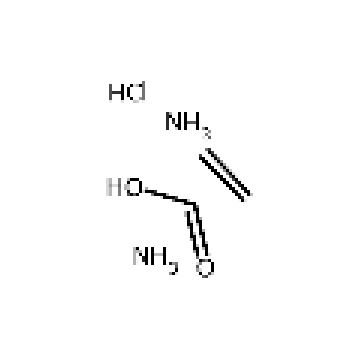 C=C.Cl.N.N.O=CO